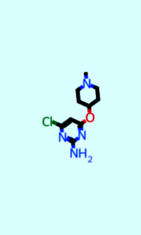 CN1CCC(Oc2cc(Cl)nc(N)n2)CC1